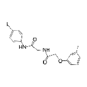 Cc1cccc(OCC(=O)NCC(=O)Nc2ccc(I)cc2)c1